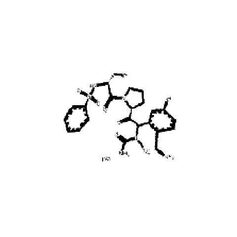 CC(C)C[C@@H](NS(=O)(=O)c1ccccc1)C(=O)N1CCC[C@H]1C(=O)C(c1cc(Cl)ccc1CN)N(N=O)C(N)=O.Cl